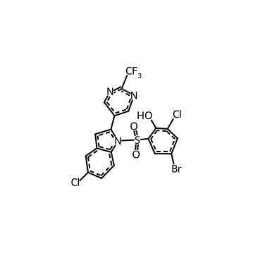 O=S(=O)(c1cc(Br)cc(Cl)c1O)n1c(-c2cnc(C(F)(F)F)nc2)cc2cc(Cl)ccc21